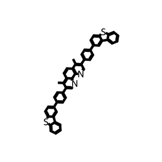 Cc1c(-c2ccc(-c3ccc4sc5ccccc5c4c3)cc2)cnc2c1ccc1c(C)c(-c3ccc(-c4ccc5sc6ccccc6c5c4)cc3)cnc12